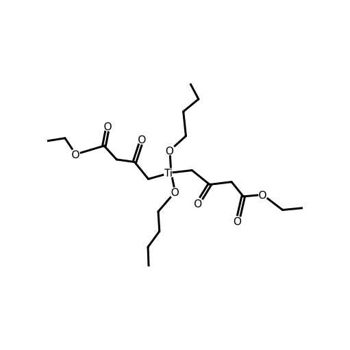 CCCC[O][Ti]([CH2]C(=O)CC(=O)OCC)([CH2]C(=O)CC(=O)OCC)[O]CCCC